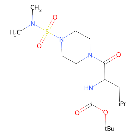 CC(C)CC(NC(=O)OC(C)(C)C)C(=O)N1CCN(S(=O)(=O)N(C)C)CC1